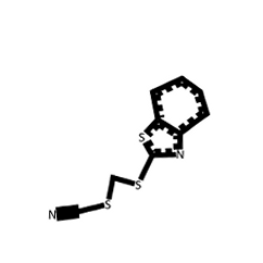 N#CSCSc1nc2ccccc2s1